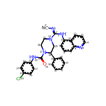 N#C/N=C(/Nc1cccc2ncccc12)N1CCN(C(=O)Nc2ccc(Cl)cc2)C(c2ccccc2)C1